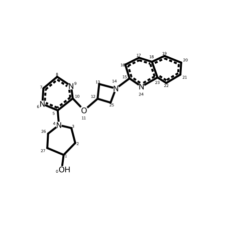 OC1CCN(c2nccnc2OC2CN(c3ccc4ccccc4n3)C2)CC1